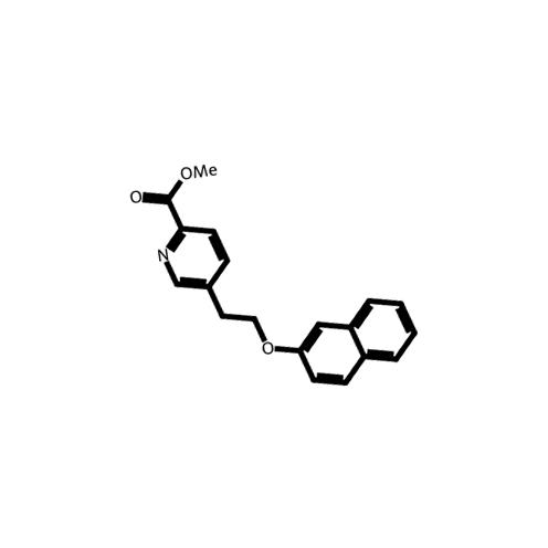 COC(=O)c1ccc(CCOc2ccc3ccccc3c2)cn1